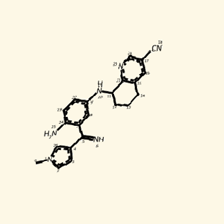 Cn1ccc(C(=N)c2cc(NC3CCCc4cc(C#N)cnc43)ccc2N)c1